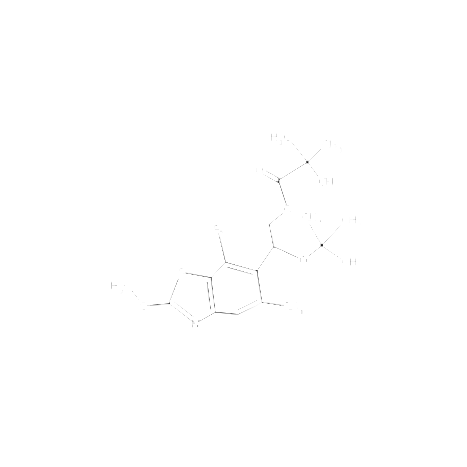 COc1nc2cc(C)c(C(COC(=O)C(C)(C)C)OC(C)(C)C)c(Br)c2s1